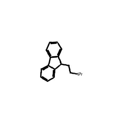 CC(C)CCC1c2ccccc2-c2ccccc21